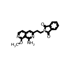 COc1nccc2cc(CCN3C(=O)c4ccccc4C3=O)nc(N)c12